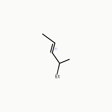 C/C=[C]/C(C)CC